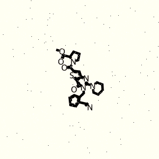 COC(=O)C1CCCN1C(=O)c1cc2nc(N3CCCCC3)n(Cc3ccccc3C#N)c(=O)c2s1